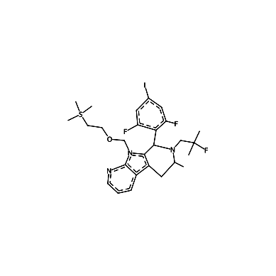 CC1Cc2c(n(COCCS(C)(C)C)c3ncccc23)C(c2c(F)cc(I)cc2F)N1CC(C)(C)F